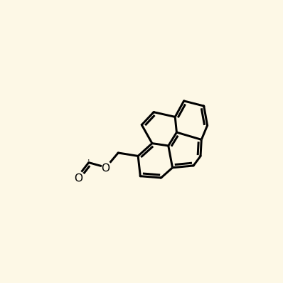 O=[C]OCc1ccc2ccc3cccc4ccc1c2c34